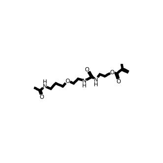 C=C(C)C(=O)OCCNC(=O)NCCOCCCNC(C)=O